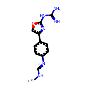 CCCN/C=N/c1ccc(-c2coc(NC(=N)N)n2)cc1